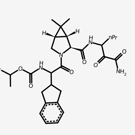 CCCC(NC(=O)[C@@H]1[C@@H]2[C@H](CN1C(=O)C(NC(=O)OC(C)C(C)C)C1Cc3ccccc3C1)C2(C)C)C(=O)C(N)=O